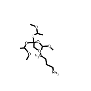 COC(C)OC(CO[SiH2]CCCN)(OC(C)OC)OC(C)OC